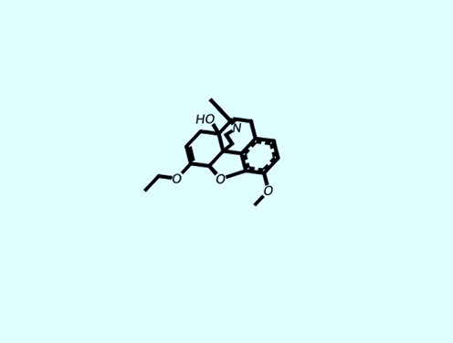 CCOC1=CCC2(O)C3Cc4ccc(OC)c5c4C2(CCN3C)C1O5